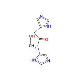 CO.O=C(Cc1cnc[nH]1)Cc1cnc[nH]1